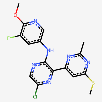 COc1ncc(Nc2ncc(Cl)nc2-c2cc(SC)nc(C)n2)cc1F